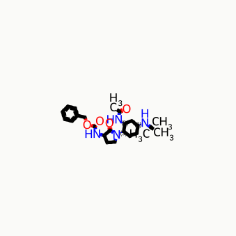 CC(=O)N[C@@H]1C[C@H](NC(C)(C)C)CC[C@@H]1N1CCC(NC(=O)OCc2ccccc2)C1=O